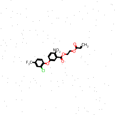 C=CC(=O)OCCOC(=O)c1cc(Oc2ccc(C(F)(F)F)cc2Cl)ccc1[N+](=O)[O-]